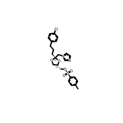 Cc1ccc(S(=O)(=O)OC[C@@H]2CO[C@](CCCc3ccc(Cl)cc3)(Cn3ccnc3)O2)cc1